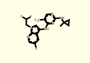 CC1(Nc2ncc(C(F)(F)F)c(Nc3cn(CC(F)F)c4ncc(F)cc34)n2)CC1